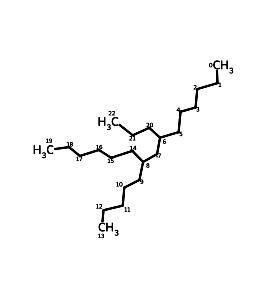 CCCCCCC([CH]C(CCCCC)CCCCCC)CCC